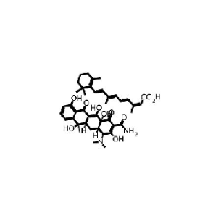 CC1=C(/C=C/C(C)=C/C=C/C(C)=C\C(=O)O)C(C)(C)CCC1.CN(C)[C@@H]1C(O)=C(C(N)=O)C(=O)[C@@]2(O)C(O)=C3C(=O)c4c(O)cccc4[C@@](C)(O)[C@H]3C[C@@H]12